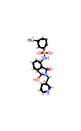 CC(C)(C)c1cccc(S(=O)(=O)Nc2cccc3c2C(=O)N(Cc2cccnc2)C3O)c1